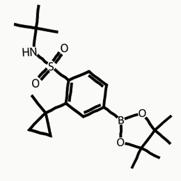 CC(C)(C)NS(=O)(=O)c1ccc(B2OC(C)(C)C(C)(C)O2)cc1C1(C)CC1